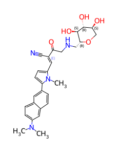 CN(C)c1ccc2cc(-c3ccc(/C=C(\C#N)C(=O)CNC[C@H]4OC[C@H](O)[C@@H](O)[C@@H]4O)n3C)ccc2c1